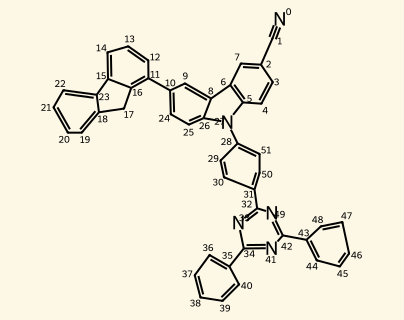 N#Cc1ccc2c(c1)c1cc(-c3cccc4c3Cc3ccccc3-4)ccc1n2-c1ccc(-c2nc(-c3ccccc3)nc(-c3ccccc3)n2)cc1